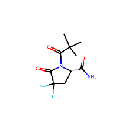 CC(C)(C)C(=O)N1C(=O)C(F)(F)C[C@H]1C(N)=O